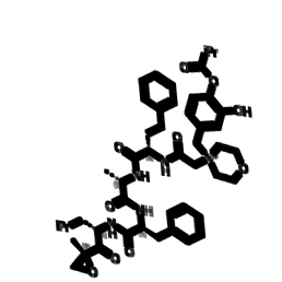 CC(C)C[C@H](NC(=O)[C@H](Cc1ccccc1)NC(=O)[C@H](C)NC(=O)[C@H](CCc1ccccc1)NC(=O)C[N+]1(Cc2ccc(OC(=O)C(C)C)c(O)c2)CCOCC1)C(=O)[C@@]1(C)CO1